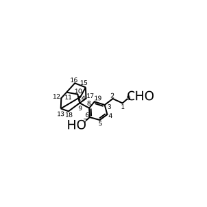 O=CCCc1ccc(O)c(C23CC4CC(CC(C4)C2)C3)c1